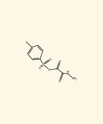 Cc1ccc(S(=O)(=O)OC(=O)C(=O)NN)cc1